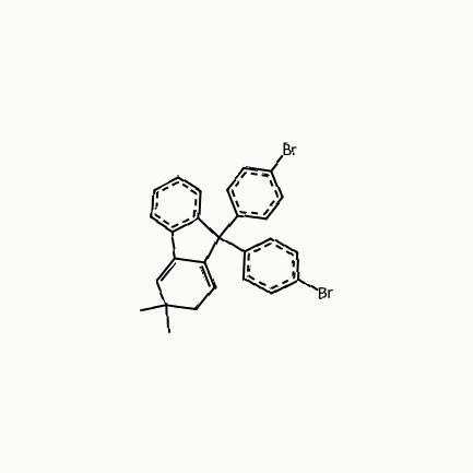 CC1(C)C=C2C(=CC1)C(c1ccc(Br)cc1)(c1ccc(Br)cc1)c1ccccc12